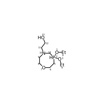 CCO[PH]1(OCC)CCOCCN(CCO)C1